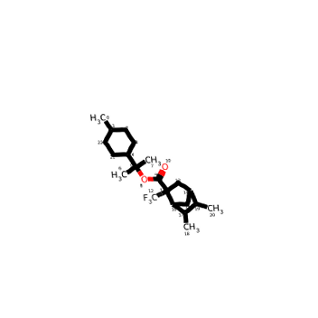 CC1CCC(C(C)(C)OC(=O)C2(C(F)(F)F)CC3CC2C(C)C3C)CC1